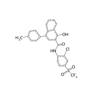 Cc1ccc(-c2cc(C(=O)Nc3ccc(S(=O)(=O)C(F)(F)F)cc3Cl)c(O)c3ccccc23)cc1